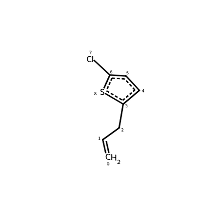 C=CCc1ccc(Cl)s1